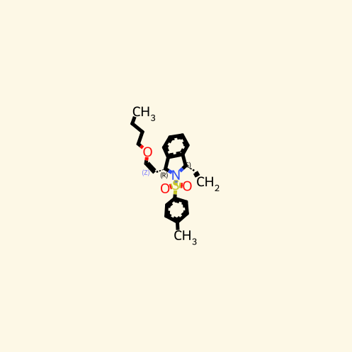 C=C[C@H]1c2ccccc2[C@@H](/C=C\OCCCC)N1S(=O)(=O)c1ccc(C)cc1